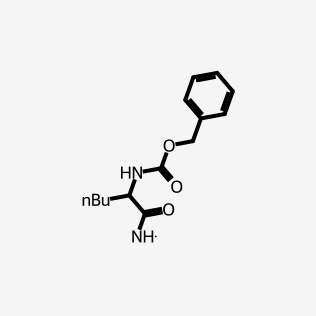 CCCCC(NC(=O)OCc1ccccc1)C([NH])=O